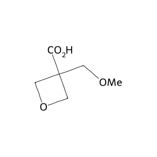 COCC1(C(=O)O)COC1